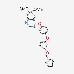 COc1cc2ncnc(Oc3ccc(Oc4cccc(OCc5ccccc5)c4)cc3)c2cc1OC